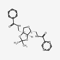 CC1(C)O[C@@H]2[C@@H](CNC(=O)c3cnccn3)OC[C@]2(CNC(=O)c2ccccc2)O1